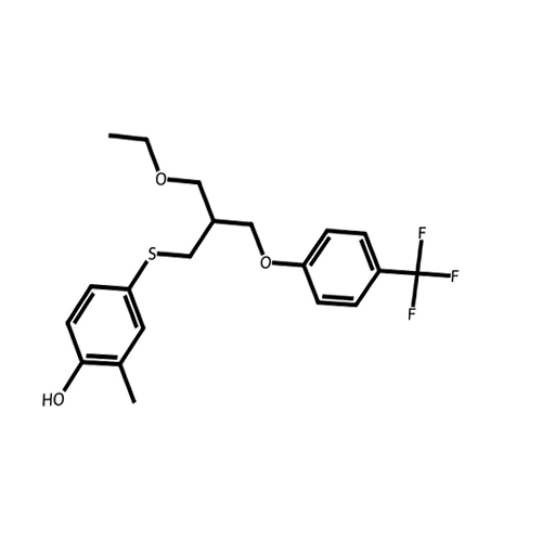 CCOCC(COc1ccc(C(F)(F)F)cc1)CSc1ccc(O)c(C)c1